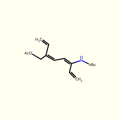 C=C/C(=C\C=C(/C=C)NCCCC)COC(C)=O